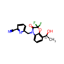 C[C@H](O)c1cccc2c1OC(F)(F)C(=O)N2Cc1cccc(C#N)n1